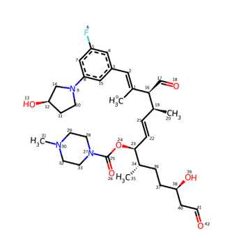 C/C(=C\c1cc(F)cc(N2CC[C@@H](O)C2)c1)[C@@H](C=O)[C@@H](C)/C=C/[C@H](OC(=O)N1CCN(C)CC1)[C@@H](C)CC[C@@H](O)CC=O